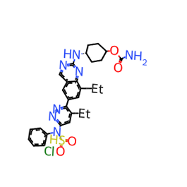 CCc1cc(N(c2ccccc2Cl)[SH](=O)=O)nnc1-c1cc(CC)c2nc(N[C@H]3CC[C@H](OC(N)=O)CC3)ncc2c1